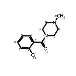 CN1CCN(C(=O)c2ccccc2Cl)CC1